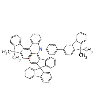 CC1(C)c2ccccc2-c2cc(-c3ccc(N(c4ccccc4-c4cccc5c4-c4ccccc4C5(C)C)c4cccc5c4-c4ccccc4C54c5ccccc5-c5ccccc54)cc3)ccc21